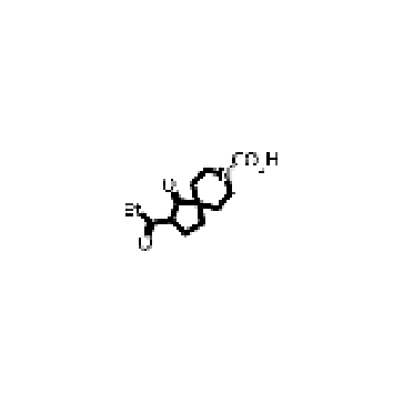 CCC(=O)C1CCC2(CCN(C(=O)O)CC2)C1=O